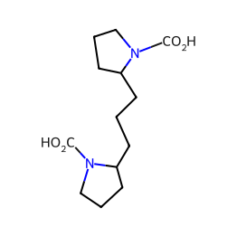 O=C(O)N1CCCC1CCCC1CCCN1C(=O)O